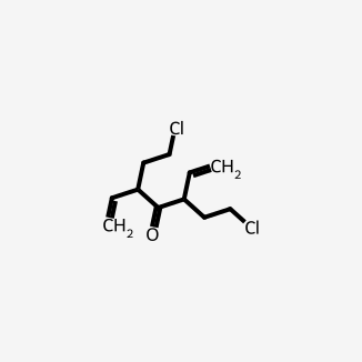 C=CC(CCCl)C(=O)C(C=C)CCCl